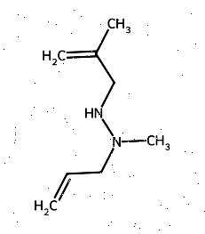 C=CCN(C)NCC(=C)C